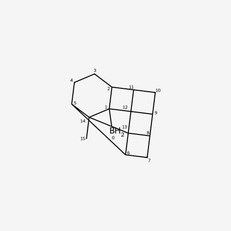 BC12C3CCC4C5CC6C7CC3C71C56C42C